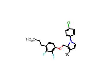 N#Cc1ccn(-c2ccc(Cl)cc2)c1COc1ccc(CCC(=O)O)c(F)c1F